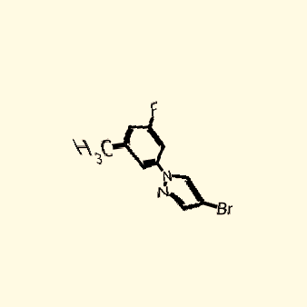 Cc1cc(F)cc(-n2cc(Br)cn2)c1